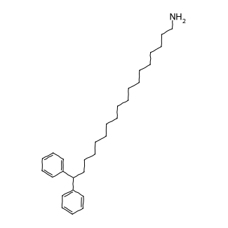 NCCCCCCCCCCCCCCCCCC(c1ccccc1)c1ccccc1